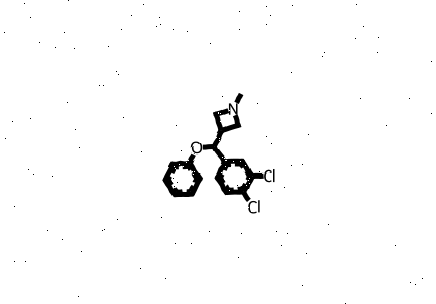 CN1CC(C(Oc2ccccc2)c2ccc(Cl)c(Cl)c2)C1